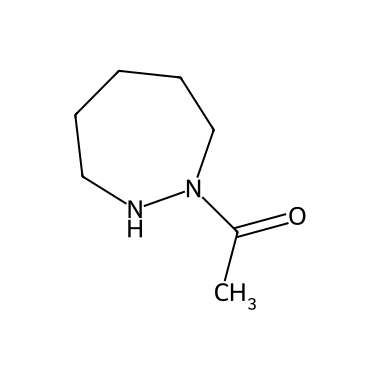 CC(=O)N1CCCCCN1